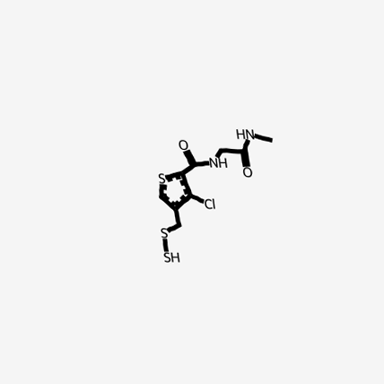 CNC(=O)CNC(=O)c1scc(CSS)c1Cl